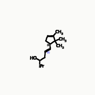 CC1=CC[C@H](/C=C/CC(O)C(C)C)C1(C)C